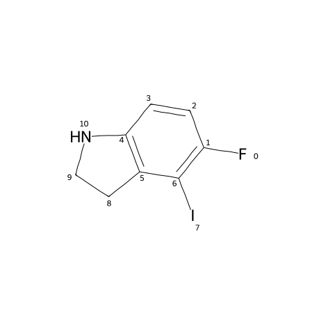 Fc1ccc2c(c1I)CCN2